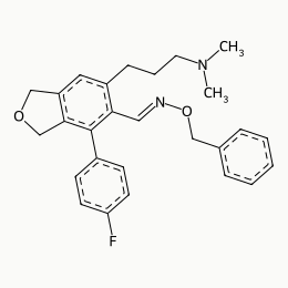 CN(C)CCCc1cc2c(c(-c3ccc(F)cc3)c1C=NOCc1ccccc1)COC2